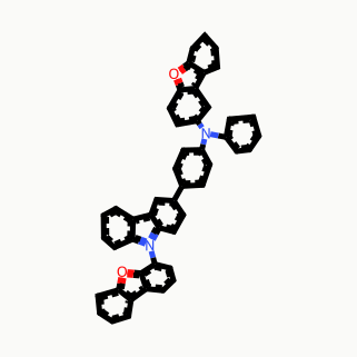 c1ccc(N(c2ccc(-c3ccc4c(c3)c3ccccc3n4-c3cccc4c3oc3ccccc34)cc2)c2ccc3oc4ccccc4c3c2)cc1